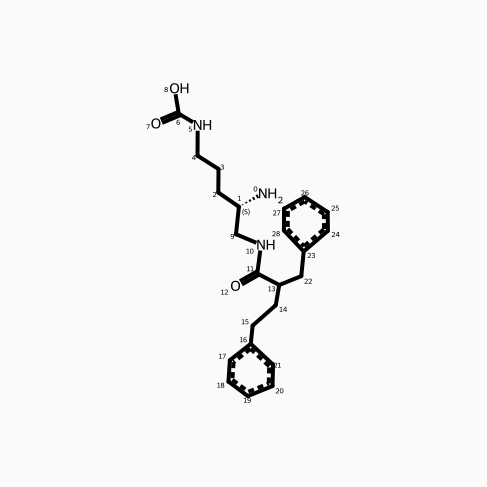 N[C@@H](CCCNC(=O)O)CNC(=O)C(CCc1ccccc1)Cc1ccccc1